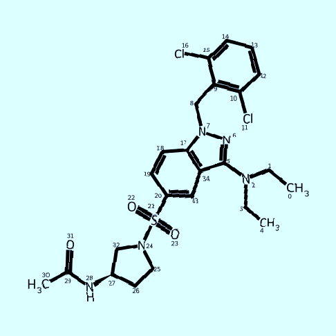 CCN(CC)c1nn(Cc2c(Cl)cccc2Cl)c2ccc(S(=O)(=O)N3CC[C@@H](NC(C)=O)C3)cc12